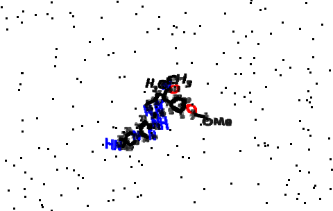 COCCOc1ccc(-c2c(C(=O)N(C)C)cc3cnc(Nc4ccc(N5CCC6(CC5)CNC6)cn4)nn23)cc1